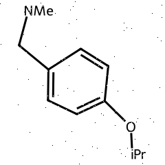 [CH2-][NH2+]Cc1ccc(OC(C)C)cc1